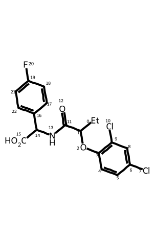 CCC(Oc1ccc(Cl)cc1Cl)C(=O)NC(C(=O)O)c1ccc(F)cc1